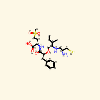 CCC(C)[C@H](CO[C@@H](Cc1ccccc1)C(=O)N[C@@H](CCS(C)(=O)=O)C(=O)O)NC[C@@H](N)CS